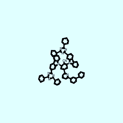 N#Cc1c(-n2c3ccccc3c3ccc(-c4nc(-c5ccccc5)nc(-c5ccccc5)n4)cc32)cc(-c2cccc(-c3cccc(-c4ccccc4)c3)n2)cc1-n1c2ccccc2c2ccc(-c3nc(-c4ccccc4)nc(-c4ccccc4)n3)cc21